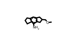 COCC1Cc2cc3c(c(N)c2C1)CCC3